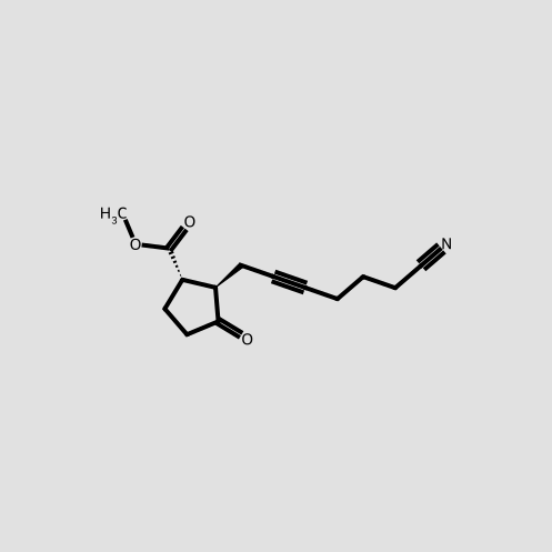 COC(=O)[C@H]1CCC(=O)[C@@H]1CC#CCCCC#N